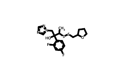 CC(SSCC1CCCO1)C(O)(Cn1cncn1)c1ccc(F)cc1F